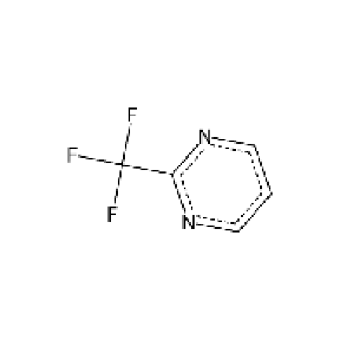 FC(F)(F)c1ncccn1